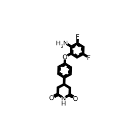 Nc1c(F)cc(F)cc1Oc1ccc(C2CC(=O)NC(=O)C2)cc1